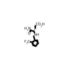 NC(=O)[C@H](CCC(=O)O)NCc1ccccc1C(F)(F)F